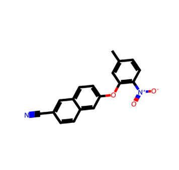 Cc1ccc([N+](=O)[O-])c(Oc2ccc3cc(C#N)ccc3c2)c1